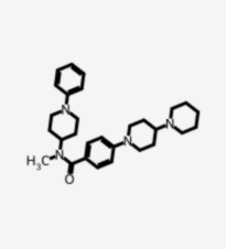 CN(C(=O)c1ccc(N2CCC(N3CCCCC3)CC2)cc1)C1CCN(c2ccccc2)CC1